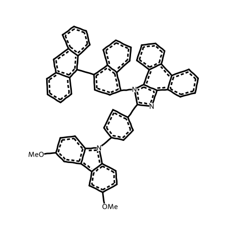 COc1ccc2c(c1)c1cc(OC)ccc1n2-c1ccc(-c2nc3c4ccccc4c4ccccc4c3n2-c2ccc(-c3c4ccccc4cc4ccccc34)c3ccccc23)cc1